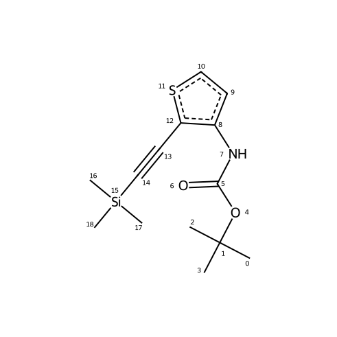 CC(C)(C)OC(=O)Nc1ccsc1C#C[Si](C)(C)C